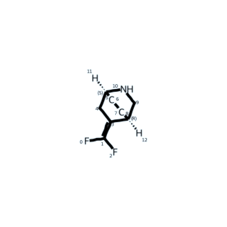 FC(F)=C1C[C@@H]2CC[C@H]1CN2